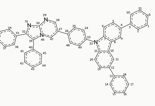 c1ccc(-c2ccc3c(c2)c2cc(-c4ccccc4)ccc2n3-c2ccc(-c3cnc4nc(-c5ccccc5)c(-c5ccccc5)n4c3)cc2)cc1